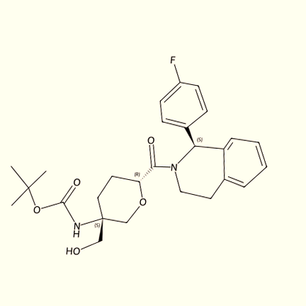 CC(C)(C)OC(=O)N[C@]1(CO)CC[C@H](C(=O)N2CCc3ccccc3[C@@H]2c2ccc(F)cc2)OC1